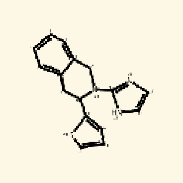 [C]1c2ccccc2CC(c2cccs2)N1c1ncc[nH]1